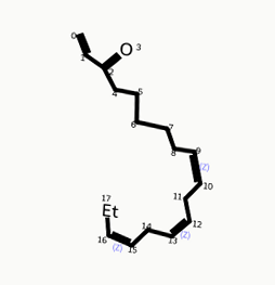 C=CC(=O)CCCCC/C=C\C/C=C\C/C=C\CC